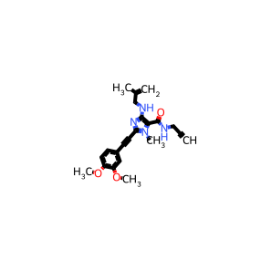 C#CCNC(=O)c1c(NCC(=C)C)nc(C#Cc2ccc(OC)c(OC)c2)n1C